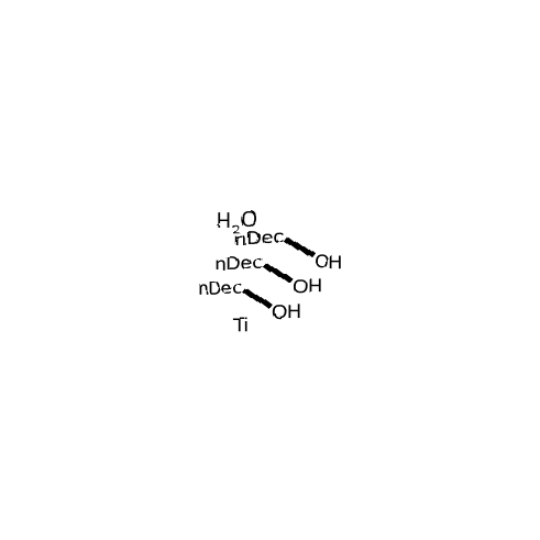 CCCCCCCCCCO.CCCCCCCCCCO.CCCCCCCCCCO.O.[Ti]